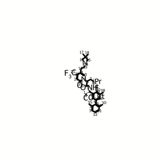 CCOC(=O)C[C@H](NC(=O)C(CC(C)C)n1cc(CCN2CC(C)(C)C2)c(C(F)(F)F)cc1=O)c1cc(-c2c(C)cccc2C)cc(C)c1F